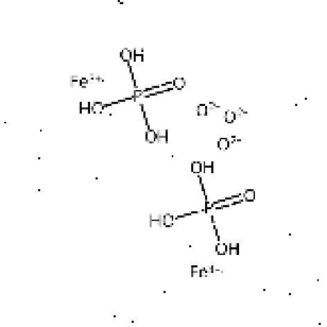 O=P(O)(O)O.O=P(O)(O)O.[Fe+3].[Fe+3].[O-2].[O-2].[O-2]